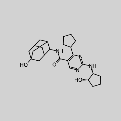 O=C(NC1C2CC3CC1CC(O)(C3)C2)c1cnc(N[C@H]2CCC[C@H]2O)nc1C1CCCC1